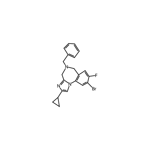 Fc1cc2c(cc1Br)-n1cc(C3CC3)nc1CN(Cc1ccccc1)C2